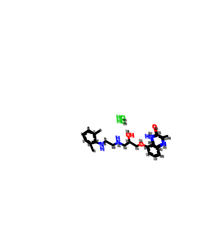 Cc1cccc(C)c1NCCNCC(O)COc1cccc2nc(C)c(=O)[nH]c12.Cl.Cl